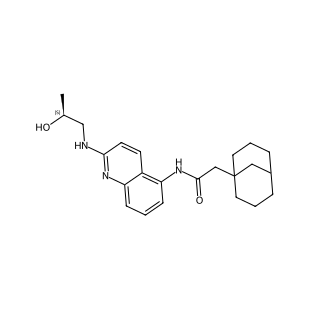 C[C@H](O)CNc1ccc2c(NC(=O)CC34CCCC(CCC3)C4)cccc2n1